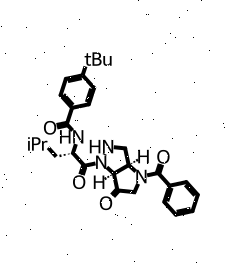 CC(C)C[C@H](NC(=O)c1ccc(C(C)(C)C)cc1)C(=O)N1NC[C@@H]2[C@H]1C(=O)CN2C(=O)c1ccccc1